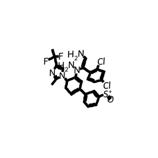 Cc1nc(C(C)(F)F)cn1C1CC=C(c2cccc([S+]=O)c2)C=C1N(N)/C(=C\N)c1ccc(Cl)cc1Cl